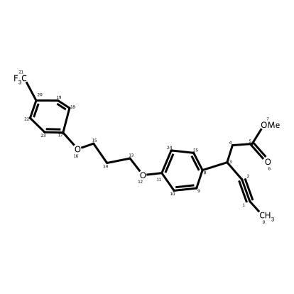 CC#CC(CC(=O)OC)c1ccc(OCCCOc2ccc(C(F)(F)F)cc2)cc1